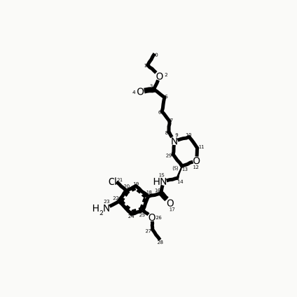 CCOC(=O)CCCCN1CCO[C@@H](CNC(=O)c2cc(Cl)c(N)cc2OCC)C1